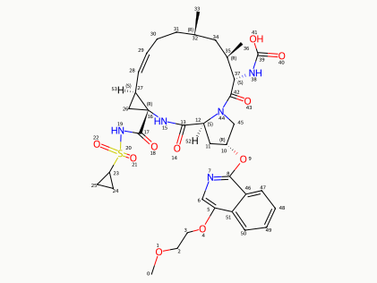 COCCOc1cnc(O[C@@H]2C[C@H]3C(=O)N[C@]4(C(=O)NS(=O)(=O)C5CC5)C[C@H]4C=CCC[C@@H](C)C[C@@H](C)[C@H](NC(=O)O)C(=O)N3C2)c2ccccc12